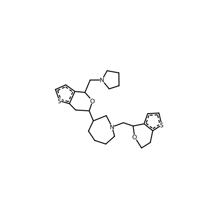 c1cc2c(s1)CCOC2CN1CCCCC(C2Cc3sccc3C(CN3CCCC3)O2)C1